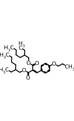 CCCCC(CC)COC(=O)C(=Cc1ccc(OCCC)cc1)C(=O)OCC(CC)CCCC